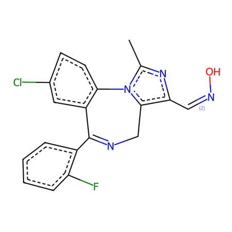 Cc1nc(/C=N\O)c2n1-c1ccc(Cl)cc1C(c1ccccc1F)=NC2